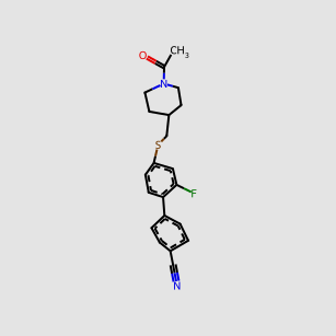 CC(=O)N1CCC(CSc2ccc(-c3ccc(C#N)cc3)c(F)c2)CC1